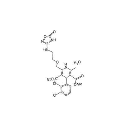 CCOC(=O)C1=C(COCCNc2noc(=O)[nH]2)NC(C)=C(C(=O)OC)C1c1cccc(Cl)c1Cl.O